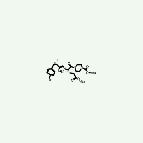 C[C@@H](Cc1ccc(O)cc1)c1cn([C@@H](CCC(=O)OC(C)(C)C)C(=O)N2CCN(C(=O)OC(C)(C)C)CC2)nn1